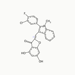 Cn1c(-c2ccc(F)c(Cl)c2)c(/C=C2\Oc3cc(O)cc(O)c3C2=O)c2ccccc21